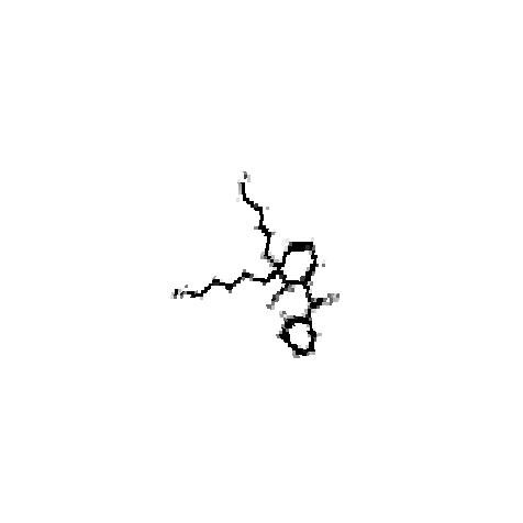 CC(C)CCCCCC1(CCCCCC(C)C)C=CC=C(C(=O)c2ccccc2)C1F